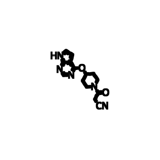 N#CCC(=O)N1CCC(Oc2ncnc3[nH]ccc23)CC1